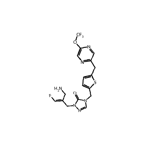 NC/C(=C\F)Cn1ncn(Cc2ccc(Cc3cnc(OC(F)(F)F)cn3)s2)c1=O